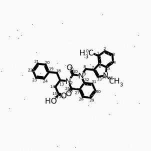 Cc1cccc2c1c(Cn1c(=O)n(C(CC(=O)O)Cc3ccccc3)c(=O)c3ccccc31)cn2C